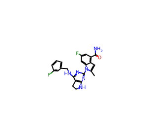 Cc1cc2c(C(N)=O)cc(F)cc2n1-c1nc2c(c(NCc3cccc(F)c3)n1)CCN2